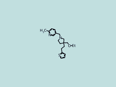 CCOCC1(CCc2cccs2)CCN(Cc2ccc(C)nc2)C1